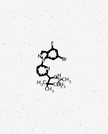 C[SiH](C)OC(c1cccc(-n2ncc3c(F)cc(Br)cc32)n1)C(C)(C)C